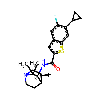 CC1(C)[C@H](NC(=O)c2cc3cc(F)c(C4CC4)cc3s2)C2CCN1CC2